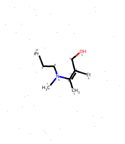 CC/C(CO)=C(\C)N(C)CCC(C)C